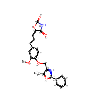 CCOc1cc(C=CC=C2OC(=O)NC2=O)ccc1OCc1nc(-c2ccccc2)oc1C